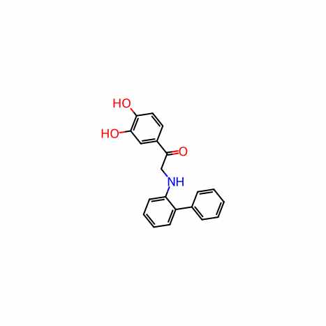 O=C(CNc1ccccc1-c1ccccc1)c1ccc(O)c(O)c1